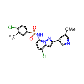 COc1cncc(-c2cc3c(Cl)ccc(NS(=O)(=O)c4ccc(Cl)c(C(F)(F)F)c4)n3n2)c1